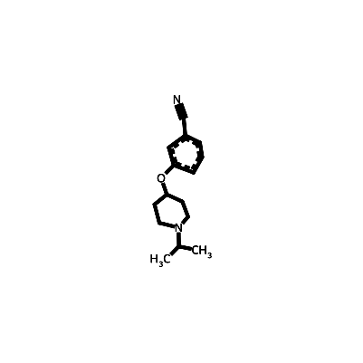 CC(C)N1CCC(Oc2cccc(C#N)c2)CC1